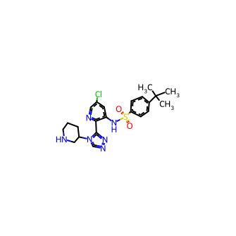 CC(C)(C)c1ccc(S(=O)(=O)Nc2cc(Cl)cnc2-c2nncn2C2CCCNC2)cc1